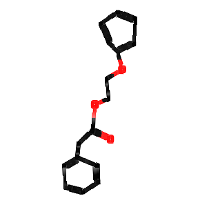 O=C(Cc1ccccc1)OCCOc1ccccc1